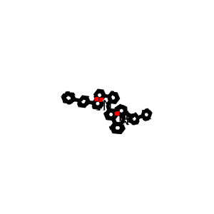 c1ccc(-c2ccc(-c3ccc(N(c4ccc(-c5ccccc5-n5c6ccccc6c6cc(-c7ccccc7)ccc65)cc4)c4ccccc4-c4ccccc4)cc3)cc2)cc1